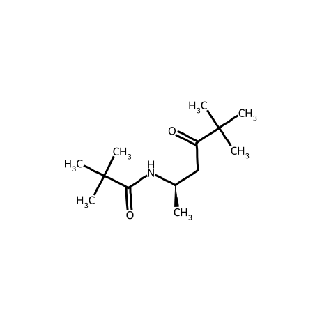 C[C@H](CC(=O)C(C)(C)C)NC(=O)C(C)(C)C